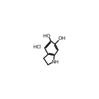 Cl.Oc1cc2c(cc1O)NCC2